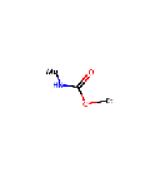 CCOC(=O)[NH][Mo]